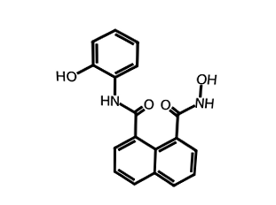 O=C(NO)c1cccc2cccc(C(=O)Nc3ccccc3O)c12